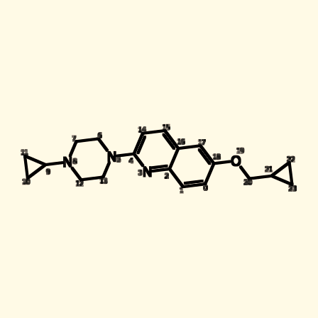 c1cc2nc(N3CCN(C4CC4)CC3)ccc2cc1OCC1CC1